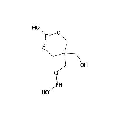 OCC1(COPO)COP(O)OC1